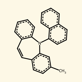 Cc1ccc2c(c1)N(c1cccc3ccccc13)c1ccccc1C=C2